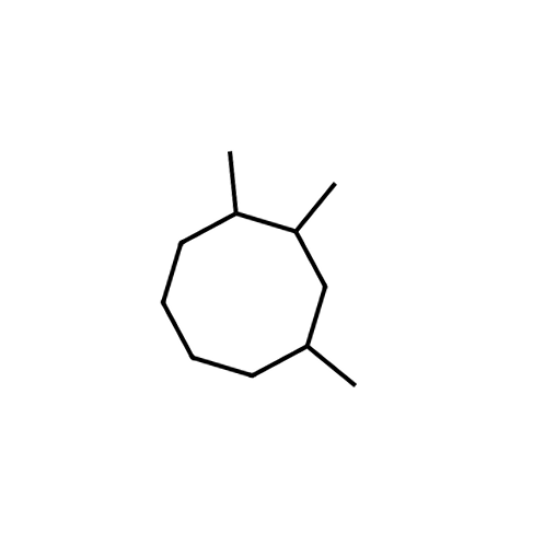 CC1CCCCC(C)C(C)C1